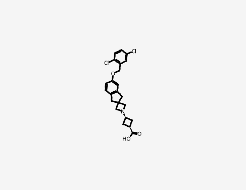 O=C(O)[C@H]1C[C@@H](N2CC3(Cc4ccc(OCc5cc(Cl)ccc5Cl)cc4C3)C2)C1